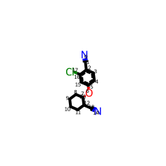 N#Cc1ccc(O[C@@H]2CCCCC2C#N)cc1Cl